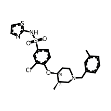 Cc1cccc(CN2CC[C@H](Oc3ccc(S(=O)(=O)Nc4nccs4)cc3Cl)[C@H](C)C2)c1